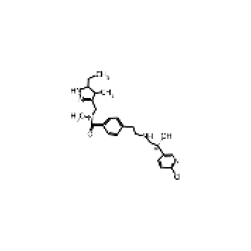 CCC1NN=C(CN(C)C(=O)c2ccc(CCNC[C@H](O)c3ccc(Cl)nc3)cc2)C1C